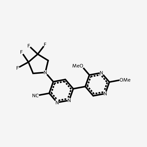 COc1ncc(-c2cc(N3CC(F)(F)C(F)(F)C3)c(C#N)nn2)c(OC)n1